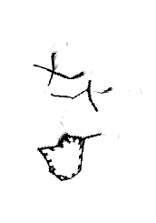 CCC1(CC)O[C@@H](c2ccccc2Cl)[C@](C)(C(=O)O)O1